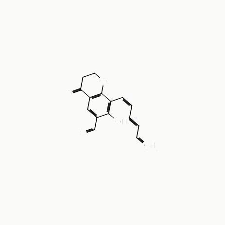 C=C/C=C/C=C\c1c(O)c(C=O)cc2c1OCCC2=O